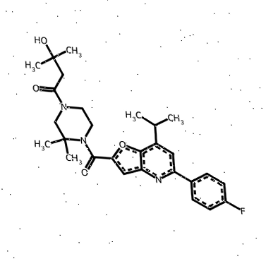 CC(C)c1cc(-c2ccc(F)cc2)nc2cc(C(=O)N3CCN(C(=O)CC(C)(C)O)CC3(C)C)oc12